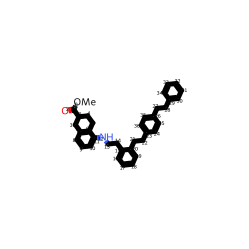 COC(=O)C1CCc2c(cccc2NCCc2ccccc2CCc2ccc(CCc3ccccc3)cc2)C1